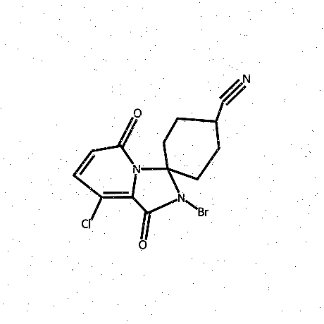 N#CC1CCC2(CC1)N(Br)C(=O)c1c(Cl)ccc(=O)n12